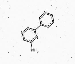 Nc1cncc(-c2cccnc2)n1